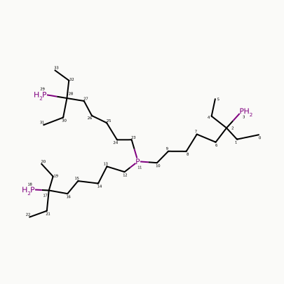 CCC(P)(CC)CCCCCP(CCCCCC(P)(CC)CC)CCCCCC(P)(CC)CC